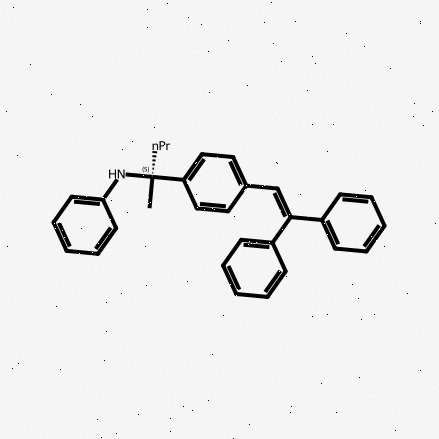 CCC[C@](C)(Nc1ccccc1)c1ccc(C=C(c2ccccc2)c2ccccc2)cc1